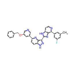 Cc1cc(F)cc(-c2nccc3[nH]c(-c4n[nH]c5ccc(-c6cncc(OCc7ccccc7)c6)nc45)nc23)c1